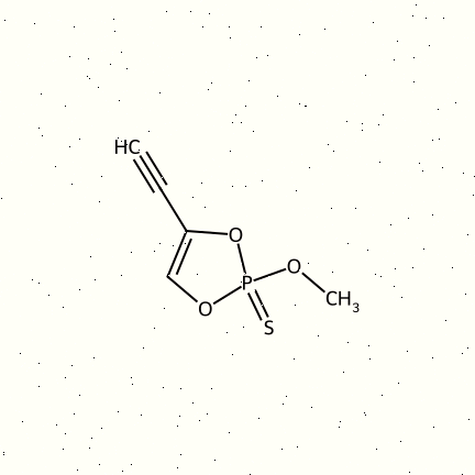 C#CC1=COP(=S)(OC)O1